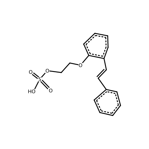 O=S(=O)(O)OCCOc1ccccc1C=Cc1ccccc1